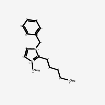 CCCCCCCCCCCCCCc1n(Cc2ccccc2)cc[n+]1CCCCCCCCC